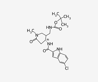 CN1CC(CNC(=O)OC(C)(C)C)[C@H](NC(=O)c2cc3cc(Cl)ccc3[nH]2)CC1=O